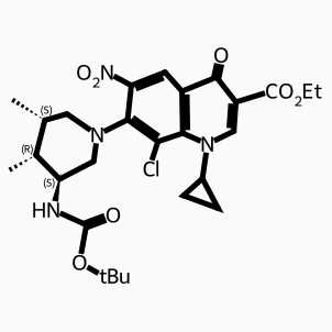 CCOC(=O)c1cn(C2CC2)c2c(Cl)c(N3C[C@@H](C)[C@@H](C)[C@H](NC(=O)OC(C)(C)C)C3)c([N+](=O)[O-])cc2c1=O